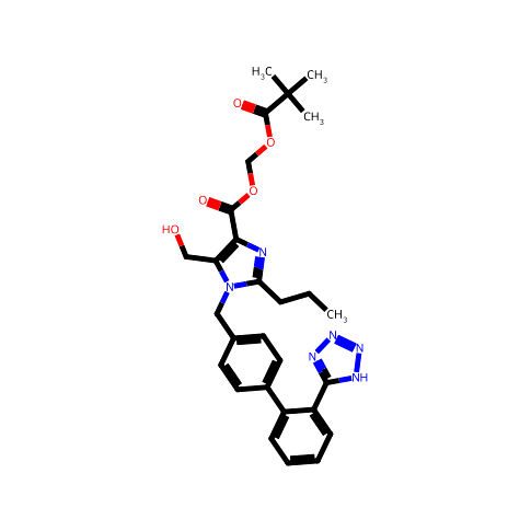 CCCc1nc(C(=O)OCOC(=O)C(C)(C)C)c(CO)n1Cc1ccc(-c2ccccc2-c2nnn[nH]2)cc1